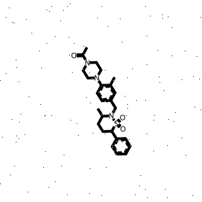 CC(=O)N1CCN(c2ccc(CN3C(C)CCC(c4ccccc4)S3(=O)=O)cc2C)CC1